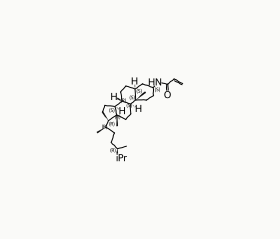 C=CC(=O)N[C@H]1CC[C@@]2(C)[C@@H](CC[C@@H]3[C@@H]2CC[C@]2(C)[C@@H]([C@H](C)CC[C@@H](C)C(C)C)CC[C@@H]32)C1